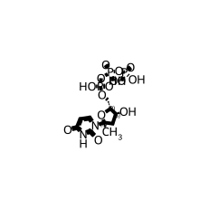 C[C@]1(n2ccc(=O)[nH]c2=O)C[C@H](O)[C@@H](COP(=O)(O)OP(=O)(O)OP(=O)(O)O)O1